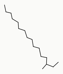 C[CH]C(C)CCCCCCCCCCCCC